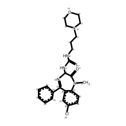 CN1C(=O)C(NC(=S)NCCCN2CCOCC2)N=C(c2ccccc2)c2cc(Cl)ccc21